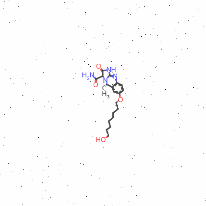 CC1c2cc(OCCCCCCCCO)ccc2N=C2NC(=O)C(C(N)=O)N21